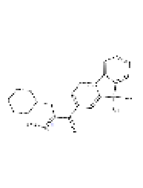 CCCCC1(CCCC)c2ccccc2-c2ccc(C(=O)/C(CC3CCCCC3)=N/OC(C)=O)cc21